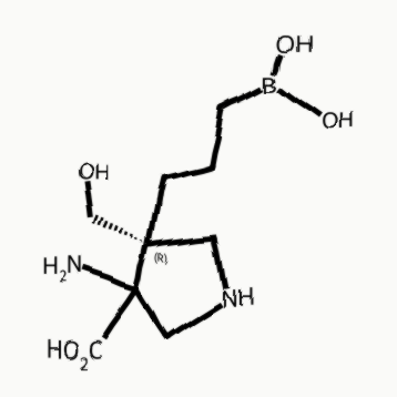 NC1(C(=O)O)CNC[C@]1(CO)CCCB(O)O